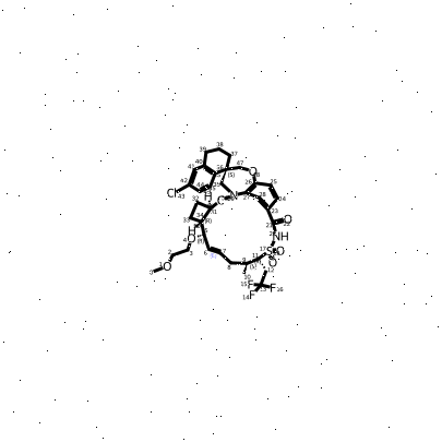 COCCO[C@H]1/C=C/C[C@H](C)[C@@H](CC(F)(F)F)S(=O)(=O)NC(=O)c2ccc3c(c2)N(C[C@@H]2CC[C@H]21)C[C@@]1(CCCc2cc(Cl)ccc21)CO3